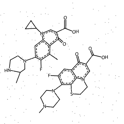 CN1CCN(c2c(F)cc3c(=O)c(C(=O)O)cn4c3c2SCC4)CC1.Cc1c(F)c(N2CCNC(C)C2)cc2c1c(=O)c(C(=O)O)cn2C1CC1